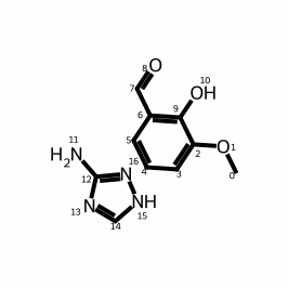 COc1cccc(C=O)c1O.Nc1nc[nH]n1